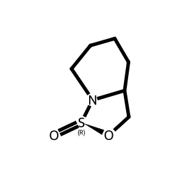 O=[S@@]1OCC2CCCCN21